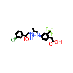 CC(CNc1ccc(CC(=O)O)c(C(F)(F)F)c1)NCC(O)c1cccc(Cl)c1